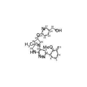 COc1c(F)cccc1-c1cc2c(nn1)NCC1(C)CC(Oc3ccc(CO)cn3)CN21